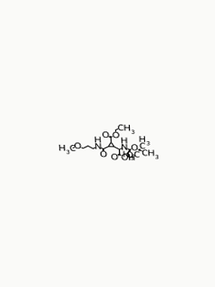 CCOC(=O)C1C(C(=O)NCCCOC)C1C(NC(=O)OC(C)(C)C)C(=O)O